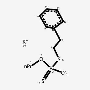 CCCOP([O-])(=S)SCCc1ccccc1.[K+]